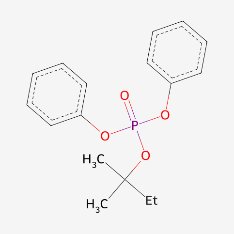 CCC(C)(C)OP(=O)(Oc1ccccc1)Oc1ccccc1